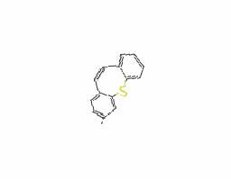 [c]1ccc2c(c1)Sc1ccccc1C=C2